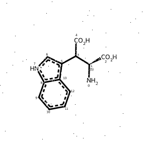 N[C@H](C(=O)O)C(C(=O)O)c1c[nH]c2ccccc12